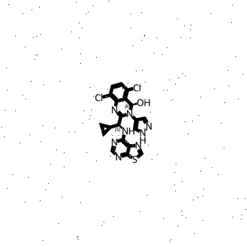 O[C@@H]1c2c(Cl)ccc(Cl)c2N=C([C@@H](Nc2ncnc3scnc23)C2CC2)N1c1cn[nH]c1